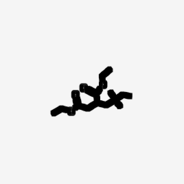 CCOC(=O)CC(CC(C)(C)CC)C(=O)OCC